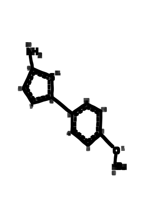 CCCCOc1ccc(-c2ccc(N)s2)cc1